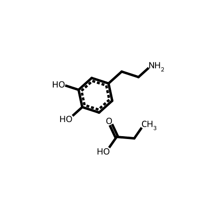 CCC(=O)O.NCCc1ccc(O)c(O)c1